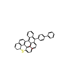 C1=Cc2ccc(-c3c4ccccc4c(-c4ccc(-c5ccccc5)cc4)c4ccccc34)c3c2C(C1)Sc1ccccc1-3